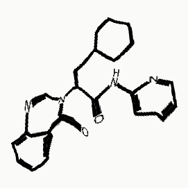 O=C(Nc1ccccn1)C(CC1CCCCC1)n1cnc2ccccc2c1=O